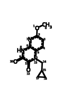 COc1ccc2c(n1)[nH]c(=O)c(=O)n2CC1CC1